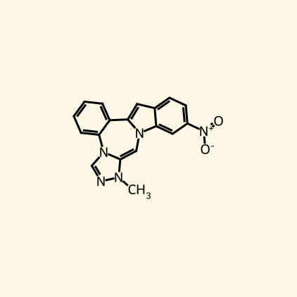 CN1N=CN2C1=Cn1c(cc3ccc([N+](=O)[O-])cc31)-c1ccccc12